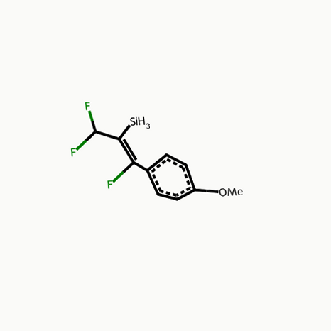 COc1ccc(C(F)=C([SiH3])C(F)F)cc1